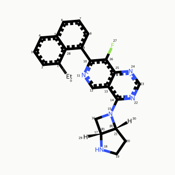 CCc1cccc2cccc(-c3ncc4c(N5C[C@H]6NCC[C@H]65)ncnc4c3F)c12